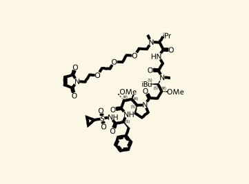 CC[C@H](C)[C@@H]([C@@H](CC(=O)N1CCC[C@H]1[C@H](OC)[C@@H](C)C(=O)N[C@@H](Cc1ccccc1)C(=O)NS(=O)(=O)C1CC1)OC)N(C)C(=O)CNC(=O)C(C(C)C)N(C)CCOCCOCCOCCN1C(=O)C=CC1=O